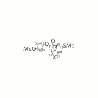 COc1ccc(OCC(=O)N(CCSC)c2ccccc2)cc1